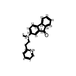 CN(CCc1ccccn1)c1ccc2c(c1)C(=O)c1ccccc1-2